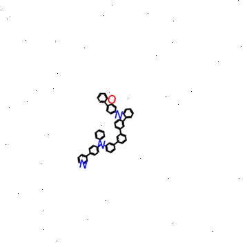 c1ccc(N(c2ccc(-c3cccnc3)cc2)c2cccc(-c3cccc(-c4ccc5c(c4)c4ccccc4n5-c4ccc5c(c4)oc4ccccc45)c3)c2)cc1